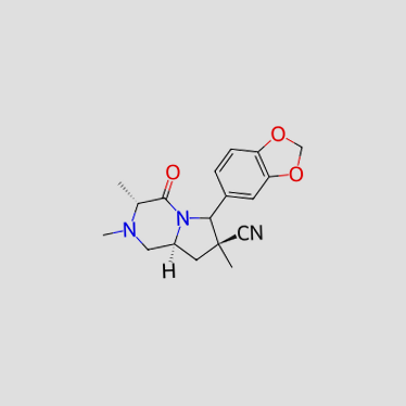 C[C@@H]1C(=O)N2C(c3ccc4c(c3)OCO4)[C@@](C)(C#N)C[C@H]2CN1C